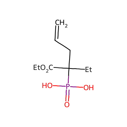 C=CCC(CC)(C(=O)OCC)P(=O)(O)O